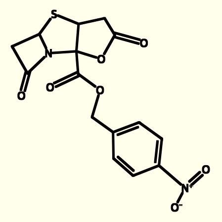 O=C1CC2SC3CC(=O)N3C2(C(=O)OCc2ccc([N+](=O)[O-])cc2)O1